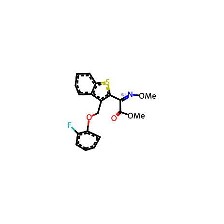 CO/N=C(\C(=O)OC)c1sc2ccccc2c1COc1ccccc1F